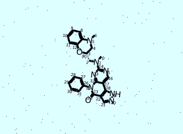 CN(C[C@H]1CN(C)c2ccccc2O1)c1ncc2c3[nH]ncc3c(=O)n(-c3ccccc3)c2n1